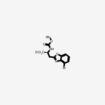 CCOC(=O)[C@H](Cc1nc2c(Br)cccc2o1)NC(=O)OC(C)(C)C